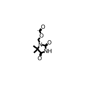 CC1(C)C(=O)NC(=O)N1CO[C]=O